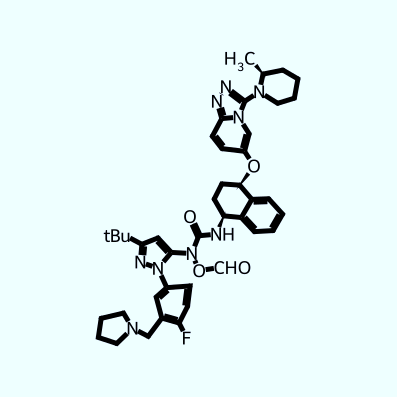 C[C@H]1CCCCN1c1nnc2ccc(O[C@@H]3CC[C@H](NC(=O)N(OC=O)c4cc(C(C)(C)C)nn4-c4ccc(F)c(CN5CCCC5)c4)c4ccccc43)cn12